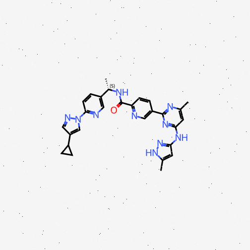 Cc1cc(Nc2cc(C)[nH]n2)nc(-c2ccc(C(=O)N[C@@H](C)c3ccc(-n4cc(C5CC5)cn4)nc3)nc2)n1